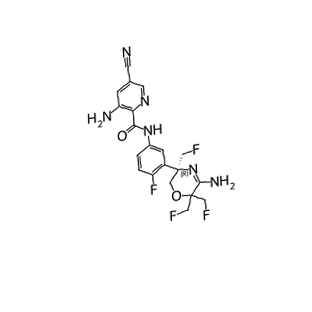 N#Cc1cnc(C(=O)Nc2ccc(F)c([C@]3(CF)COC(CF)(CF)C(N)=N3)c2)c(N)c1